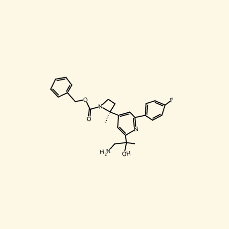 CC(O)(CN)c1cc([C@]2(C)CCN2C(=O)OCc2ccccc2)cc(-c2ccc(F)cc2)n1